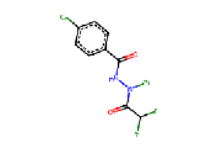 O=C(NN(Br)C(=O)C(F)F)c1ccc(Cl)cc1